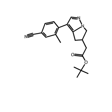 Cc1cc(C#N)ccc1-c1cnn2c1CC(CC(=O)OC(C)(C)C)C2